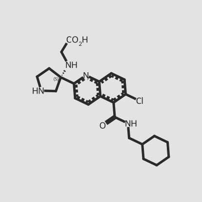 O=C(O)CN[C@@]1(c2ccc3c(C(=O)NCC4CCCCC4)c(Cl)ccc3n2)CCNC1